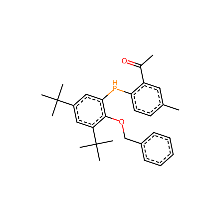 CC(=O)c1cc(C)ccc1Pc1cc(C(C)(C)C)cc(C(C)(C)C)c1OCc1ccccc1